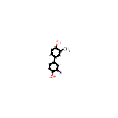 Cc1cc(-c2ccc(O)c(I)c2)ccc1O